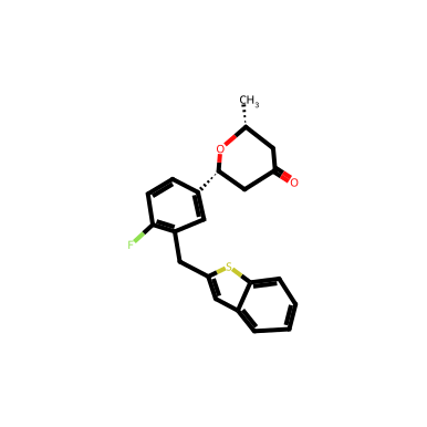 C[C@@H]1CC(=O)C[C@H](c2ccc(F)c(Cc3cc4ccccc4s3)c2)O1